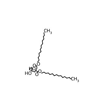 CCCCCCCCCCCCCCCCOC(=O)CC(O)(CC(=O)O)C(=O)OCCCCCCCCCCCCCCCC